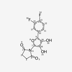 O=C1CCC(=O)N1c1oc(-c2ccc(F)c(F)c2)c(O)c1O